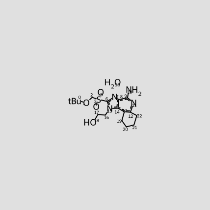 CC(C)(C)OCS(=O)(=O)c1nc2c(N)nc3c(c2n1CCO)CCCC3.O